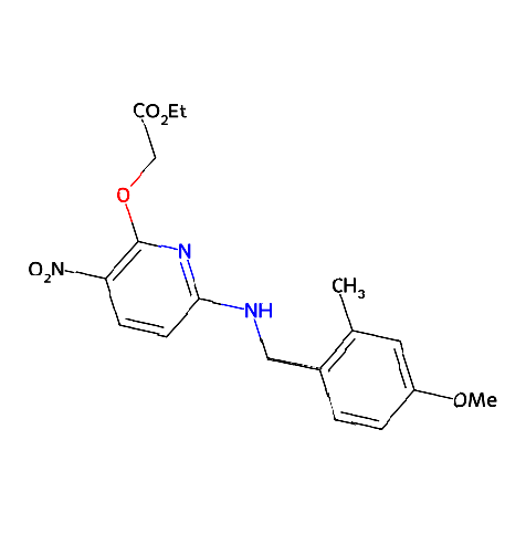 CCOC(=O)COc1nc(NCc2ccc(OC)cc2C)ccc1[N+](=O)[O-]